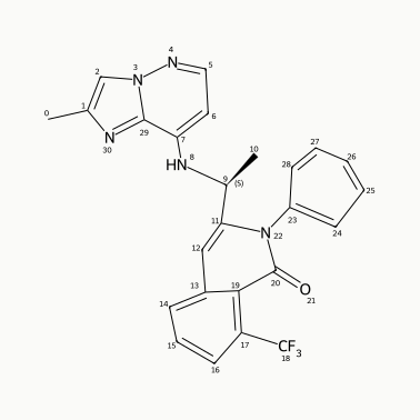 Cc1cn2nccc(N[C@@H](C)c3cc4cccc(C(F)(F)F)c4c(=O)n3-c3ccccc3)c2n1